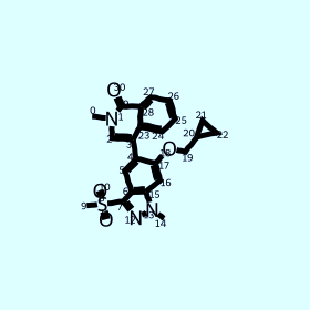 Cn1cc(-c2cc3c(S(C)(=O)=O)nn(C)c3cc2OCC2CC2)c2ccccc2c1=O